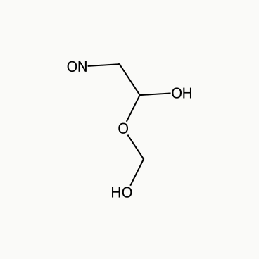 O=NCC(O)OCO